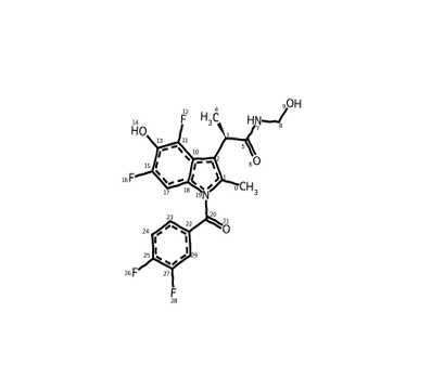 Cc1c([C@@H](C)C(=O)NCO)c2c(F)c(O)c(F)cc2n1C(=O)c1ccc(F)c(F)c1